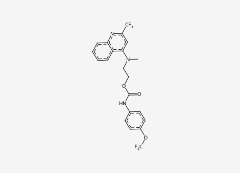 CN(CCOC(=O)Nc1ccc(OC(F)(F)F)cc1)c1cc(C(F)(F)F)nc2ccccc12